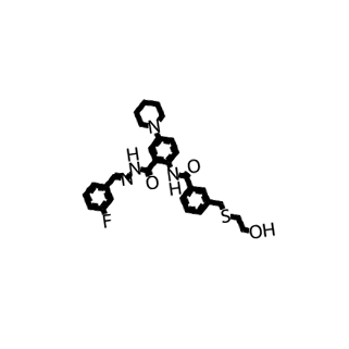 O=C(Nc1ccc(N2CCCCC2)cc1C(=O)N/N=C/c1cccc(F)c1)c1cccc(CSCCO)c1